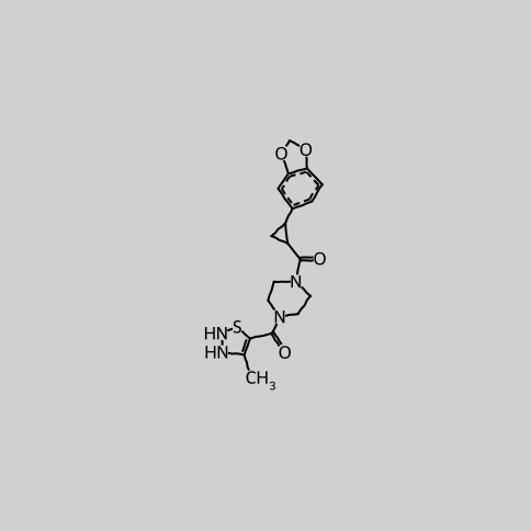 CC1=C(C(=O)N2CCN(C(=O)C3CC3c3ccc4c(c3)OCO4)CC2)SNN1